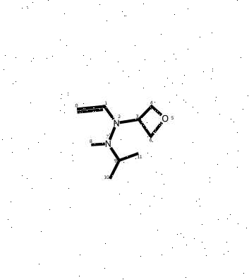 C=CN(C1COC1)N(C)C(C)C